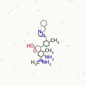 Cc1ccc(C(CC(=O)O)c2ccc(N(C)N)c(N)c2C)cc1Cn1ccnc1CC1CCCCC1